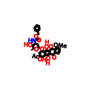 COc1cccc2c1C(=O)c1c(O)c3c(c(O)c1C2=O)C[C@@](O)(C(C)=O)C[C@@H]3O[C@H]1C[C@H](NC(=O)OCc2ccccc2)[C@H](O)[C@H](C)O1